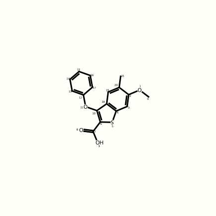 COc1cc2sc(C(=O)O)c(Oc3ccccc3)c2cc1C